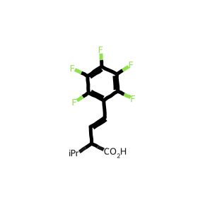 CC(C)C(C=Cc1c(F)c(F)c(F)c(F)c1F)C(=O)O